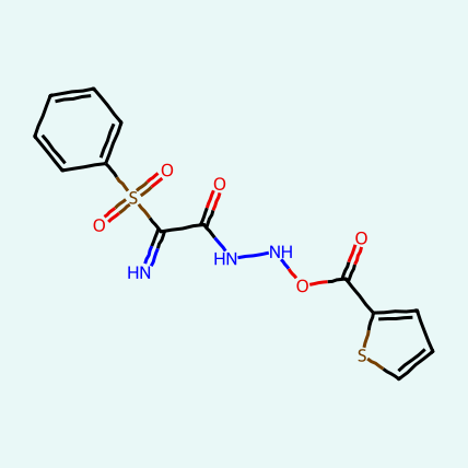 N=C(C(=O)NNOC(=O)c1cccs1)S(=O)(=O)c1ccccc1